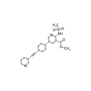 COC(=O)c1cc(-c2ccc(C#Cc3cccnc3)cc2)cnc1NS(C)(=O)=O